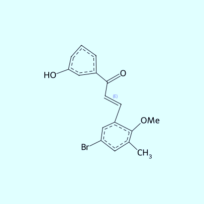 COc1c(C)cc(Br)cc1/C=C/C(=O)c1cccc(O)c1